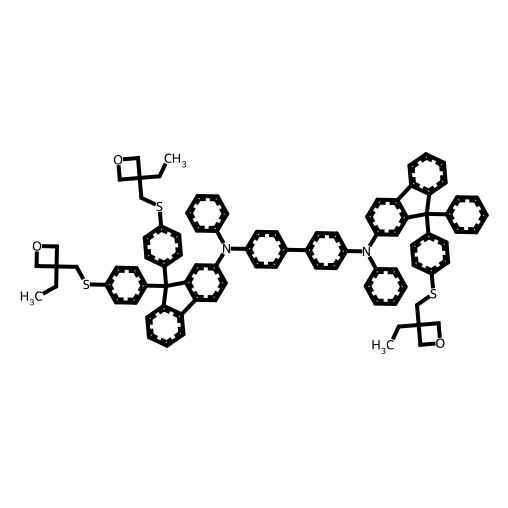 CCC1(CSc2ccc(C3(c4ccccc4)c4ccccc4-c4ccc(N(c5ccccc5)c5ccc(-c6ccc(N(c7ccccc7)c7ccc8c(c7)C(c7ccc(SCC9(CC)COC9)cc7)(c7ccc(SCC9(CC)COC9)cc7)c7ccccc7-8)cc6)cc5)cc43)cc2)COC1